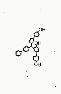 Oc1ccc(C2=CC(C(c3ccc(-c4ccccc4)cc3)c3cc(C4=CCC(O)C=C4)ccc3O)C=C2)cc1